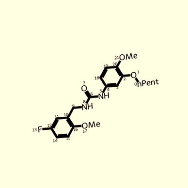 CCCCCOc1cc(NC(=O)NCc2cc(F)ccc2OC)ccc1OC